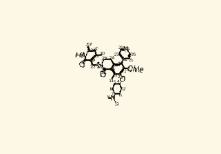 COc1c(O[C@H]2CC[C@H](N(C)C)CC2)c(C)c2c(c1-c1ccncc1)CCN(Cc1c(C)cc(C)[nH]c1=O)C2=O